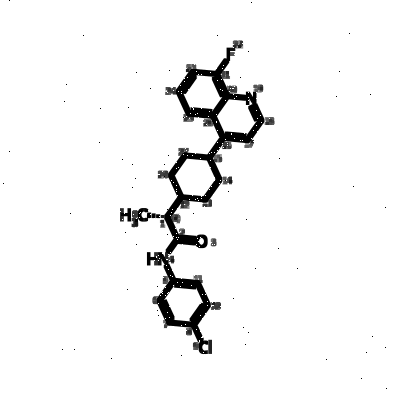 C[C@@H](C(=O)Nc1ccc(Cl)cc1)C1CCC(c2ccnc3c(F)cccc23)CC1